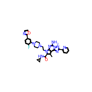 Cc1c(C(=O)NC2CC2)n(CCN2CCN(c3cc(-c4ncco4)ccc3F)CC2)c2nc(N)n3nc(-c4ccccn4)nc3c12